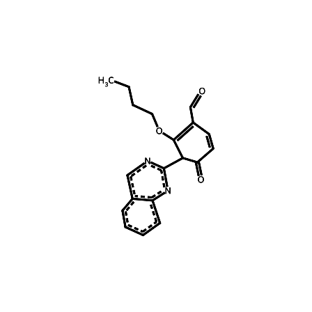 CCCCOC1=C(C=O)C=CC(=O)C1c1ncc2ccccc2n1